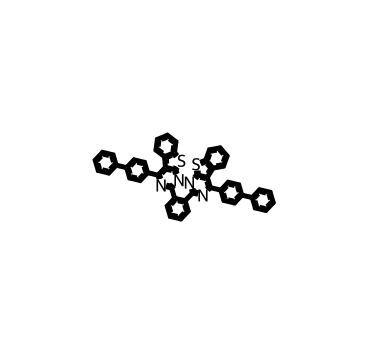 c1ccc(-c2ccc(-c3nc(-c4ccccc4-c4nc(-c5ccc(-c6ccccc6)cc5)c5c(n4)sc4ccccc45)nc4sc5ccccc5c34)cc2)cc1